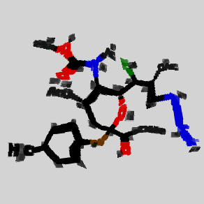 COC(=O)[C@]1(Sc2ccc(C)cc2)C[C@H](OC(C)=O)[C@@H](N(C(C)=O)C(=O)OC(C)(C)C)[C@H]([C@@H](F)[C@@H](CN=[N+]=[N-])OC(C)=O)O1